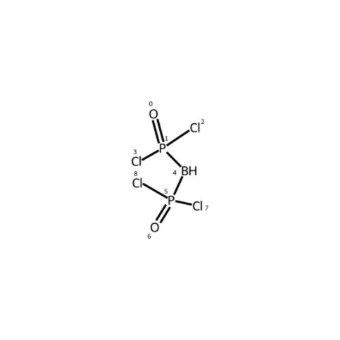 O=P(Cl)(Cl)BP(=O)(Cl)Cl